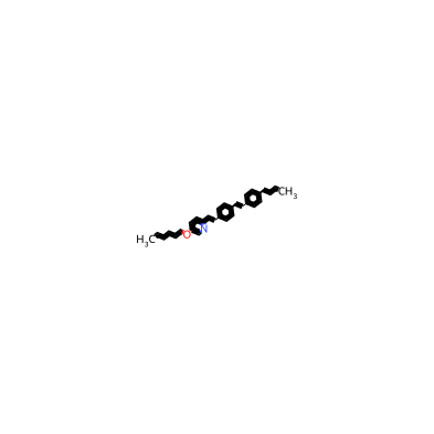 CCCCCCOc1ccc(CC[C@H]2CC[C@H](CC[C@H]3CC[C@H](CCCC)CC3)CC2)nc1